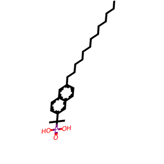 CCCCCCCCCCCCCc1ccc2cc(C(C)(C)P(=O)(O)O)ccc2c1